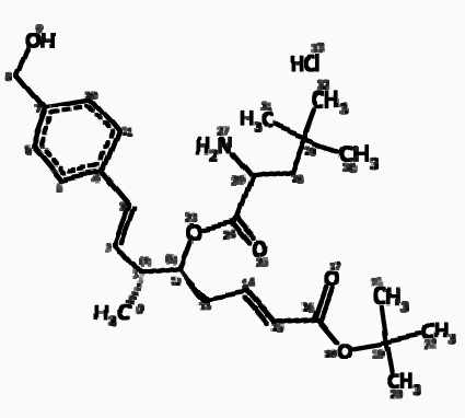 C[C@H](C=Cc1ccc(CO)cc1)[C@H](CC=CC(=O)OC(C)(C)C)OC(=O)C(N)CC(C)(C)C.Cl